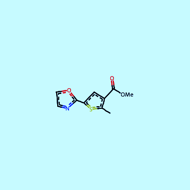 COC(=O)c1cc(-c2ncco2)sc1C